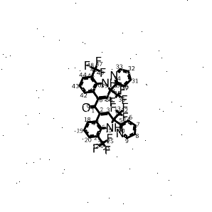 O=C(C1=CC(c2ccccn2)(C(F)(F)F)Nc2c1cccc2C(F)(F)F)C1=CC(c2ccccn2)(C(F)(F)F)Nc2c1cccc2C(F)(F)F